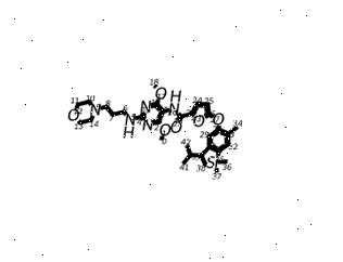 COc1nc(NCCCN2CCOCC2)nc(OC)c1NC(=O)c1ccc(Oc2cc3c(cc2C)[Si](C)(C)CC3C(C)C)o1